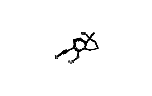 CCC#Cc1ccc2c(c1ON)CCCC2(C)C(C)(C)C